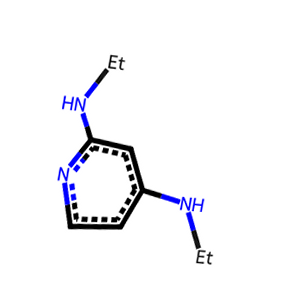 CCNc1ccnc(NCC)c1